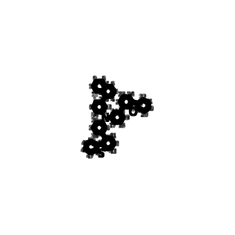 c1cc(-c2cccc3ccccc23)cc(N(c2cccc(-c3cccc4c3oc3ccccc34)c2)c2cccc(-c3cccc4sc5ccccc5c34)c2)c1